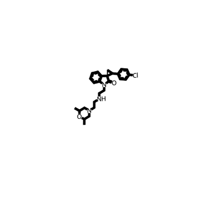 CC1CN(CCNCCN2C(=O)[C@]3(CC3c3ccc(Cl)cc3)c3ccccc32)CC(C)O1